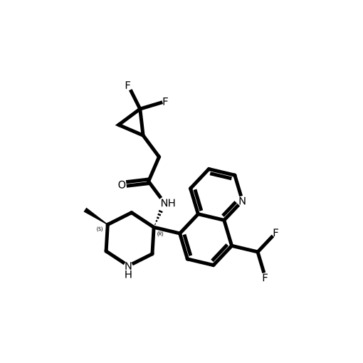 C[C@@H]1CNC[C@](NC(=O)CC2CC2(F)F)(c2ccc(C(F)F)c3ncccc23)C1